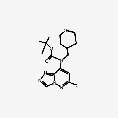 CC(C)(C)OC(=O)N(CC1CCOCC1)c1cc(Cl)nn2cnnc12